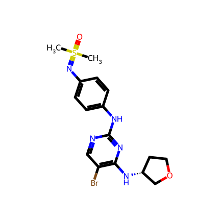 CS(C)(=O)=Nc1ccc(Nc2ncc(Br)c(N[C@@H]3CCOC3)n2)cc1